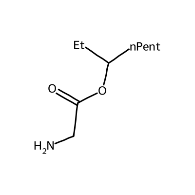 CCCCCC(CC)OC(=O)CN